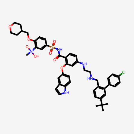 CC(C)(C)c1ccc(CNCCNc2ccc(C(=O)NS(=O)(=O)c3ccc(OCC4CCOCC4)c([N+](C)([O-])O)c3)c(Oc3ccc4[nH]ccc4c3)c2)c(-c2ccc(Cl)cc2)c1